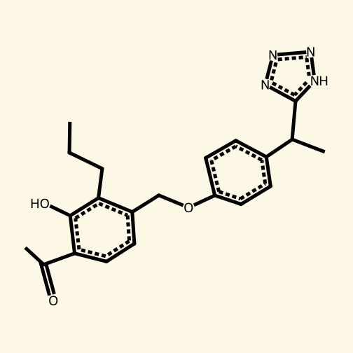 CCCc1c(COc2ccc(C(C)c3nnn[nH]3)cc2)ccc(C(C)=O)c1O